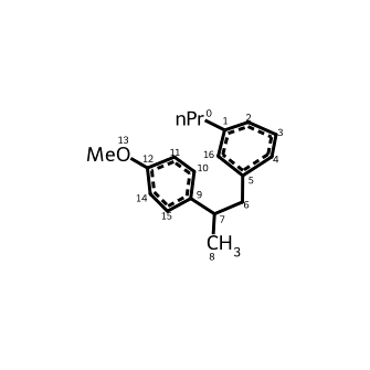 CCCc1cccc(CC(C)c2ccc(OC)cc2)c1